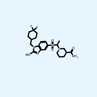 CC(N1CCCC(C(N)=O)C1)S(=O)(=O)c1ccc2c(c1)nc(C(C)(C)C)n2CC1CCC(F)(F)CC1